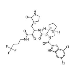 O=C(NCCCC(F)(F)F)C(=O)C(C[C@@H]1CCNC1=O)NC(=O)[C@@H]1[C@H]2CCC[C@H]2CN1C(=O)c1cc2c(Cl)cc(Cl)cc2[nH]1